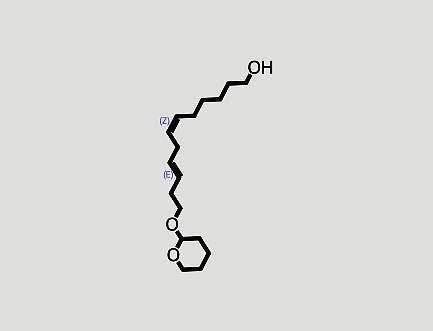 OCCCCC/C=C\C/C=C/CCOC1CCCCO1